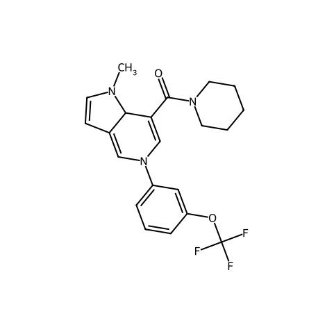 CN1C=CC2=CN(c3cccc(OC(F)(F)F)c3)C=C(C(=O)N3CCCCC3)C21